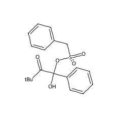 CC(C)(C)C(=O)C(O)(OS(=O)(=O)Cc1ccccc1)c1ccccc1